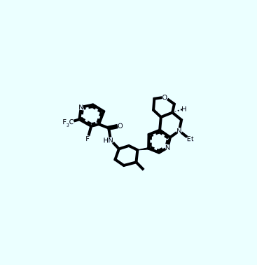 CCN1C[C@@H]2COCCC2c2cc([C@@H]3CC(NC(=O)c4ccnc(C(F)(F)F)c4F)CCC3C)cnc21